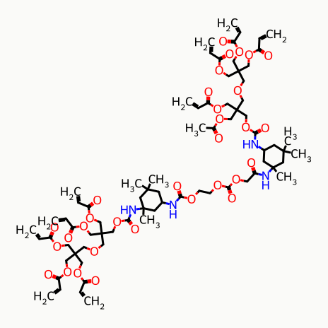 C=CC(=O)OCC(COCC(COC(C)=O)(COC(=O)C=C)COC(=O)NC1CC(C)(C)CC(C)(NC(=O)COC(=O)OCCOC(=O)NC2CC(C)(C)CC(C)(NC(=O)OCC(COCC(COC(=O)C=C)(COC(=O)C=C)COC(=O)C=C)(COC(=O)C=C)COC(=O)C=C)C2)C1)(COC(=O)C=C)COC(=O)C=C